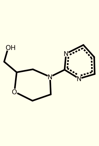 OCC1CN(c2ncccn2)CCO1